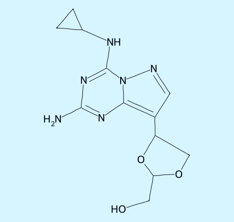 Nc1nc(NC2CC2)n2ncc(C3COC(CO)O3)c2n1